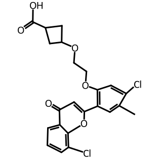 Cc1cc(-c2cc(=O)c3cccc(Cl)c3o2)c(OCCOC2CC(C(=O)O)C2)cc1Cl